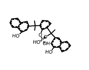 CC(C)(c1cc(O)c2ccccc2c1)c1cccc(C(C)(C)c2cc(O)c3ccccc3c2)c1OP(=O)(O)O